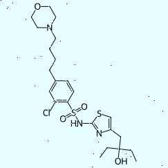 CCC(O)(CC)Cc1csc(NS(=O)(=O)c2ccc(CCCCN3CCOCC3)cc2Cl)n1